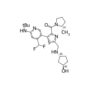 C[C@H]1CCCN1C(=O)c1nc(CN[C@@H]2CC[C@@H](O)C2)sc1-c1cnc(NC(C)(C)C)cc1C(F)F